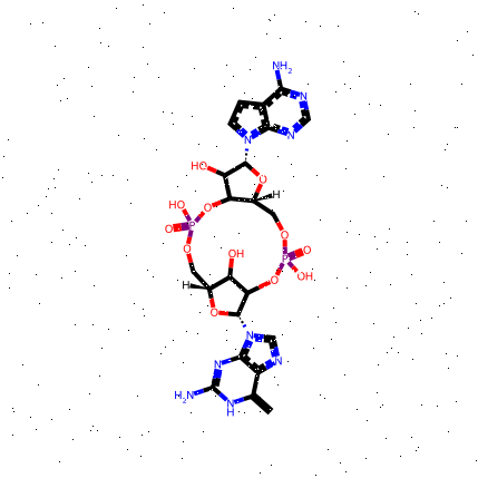 C=C1NC(N)=Nc2c1ncn2[C@@H]1O[C@@H]2COP(=O)(O)OC3C(O)[C@H](n4ccc5c(N)ncnc54)O[C@@H]3COP(=O)(O)OC1C2O